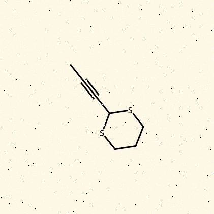 CC#CC1SCCCS1